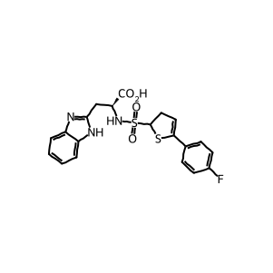 O=C(O)[C@H](Cc1nc2ccccc2[nH]1)NS(=O)(=O)C1CC=C(c2ccc(F)cc2)S1